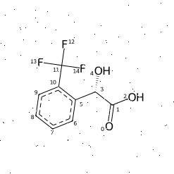 O=C(O)[C@@H](O)c1ccccc1C(F)(F)F